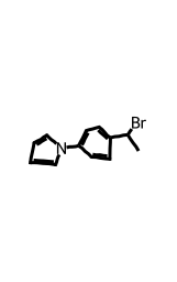 CC(Br)c1ccc(-n2cccc2)cc1